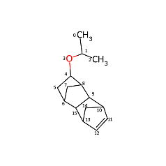 CC(C)OC1CC2CC1C1C3C=CC(C3)C21